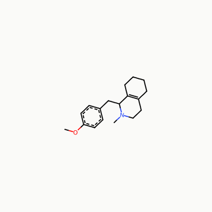 COc1ccc(CC2C3=C(CCCC3)CCN2C)cc1